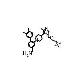 Cc1ccc(-c2ccc(CN)cc2N2CCC(c3c(C)ncn3COCC[Si](C)(C)C)CC2)cc1C